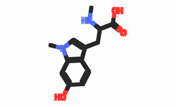 CNC(Cc1cn(C)c2cc(O)ccc12)C(=O)O